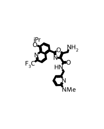 CNc1cccc(CNC(=O)c2nc(-c3ccc(OC(C)C)c4nc(C(F)(F)F)ccc34)oc2CN)n1